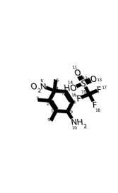 CC1=C(C)C(C)([N+](=O)[O-])C=CC1N.O=S(=O)(O)C(F)(F)F